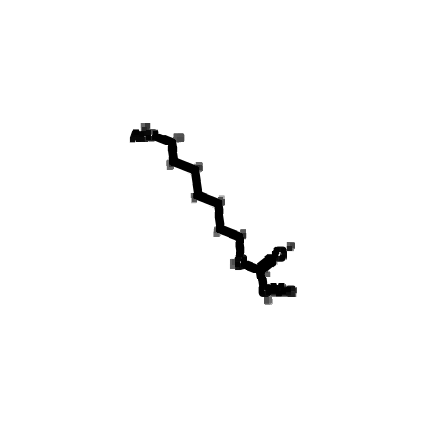 COC(=O)OCCCC[CH]CCOC(C)=O